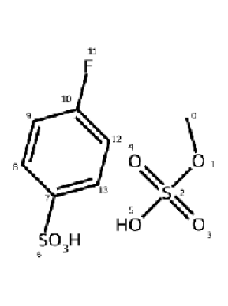 COS(=O)(=O)O.O=S(=O)(O)c1ccc(F)cc1